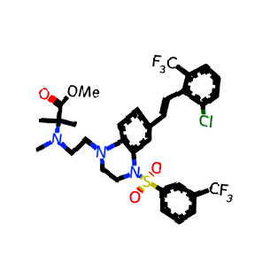 COC(=O)C(C)(C)N(C)CCN1CCN(S(=O)(=O)c2cccc(C(F)(F)F)c2)c2cc(/C=C/c3c(Cl)cccc3C(F)(F)F)ccc21